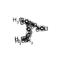 COC(=O)c1ccc(CNCC(=O)OCCC(=O)c2ccc(Cl)cc2)c(NCc2ccc(OC3CCN(C(=O)OC(C)(C)C)CC3)cc2)c1